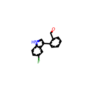 O=Cc1ccccc1-c1c[nH]c2ccc(F)cc12